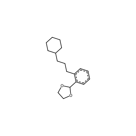 c1ccc(C2OCCO2)c(CCCC2CCCCC2)c1